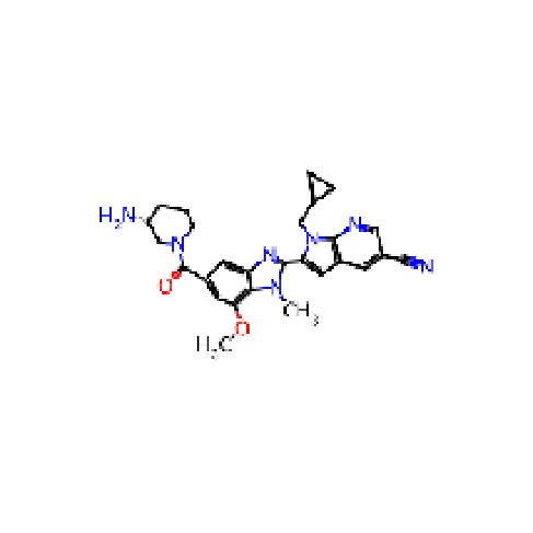 COc1cc(C(=O)N2CCC[C@@H](N)C2)cc2nc(-c3cc4cc(C#N)cnc4n3CC3CC3)n(C)c12